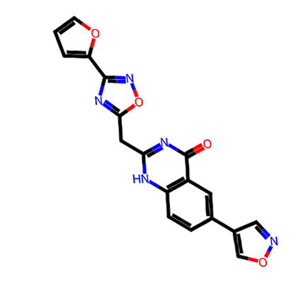 O=c1nc(Cc2nc(-c3ccco3)no2)[nH]c2ccc(-c3cnoc3)cc12